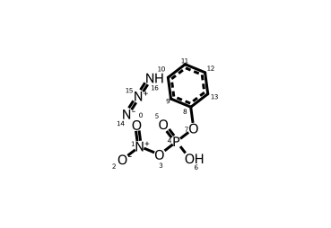 O=[N+]([O-])OP(=O)(O)Oc1ccccc1.[N-]=[N+]=N